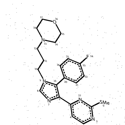 CSc1nccc(-c2ncn(CCCN3CCOCC3)c2-c2ccc(F)cc2)n1